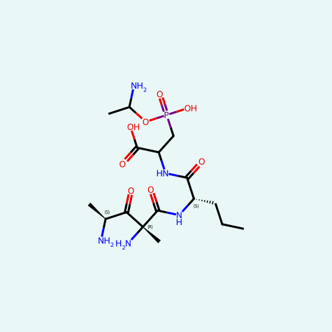 CCC[C@H](NC(=O)[C@](C)(N)C(=O)[C@H](C)N)C(=O)NC(CP(=O)(O)OC(C)N)C(=O)O